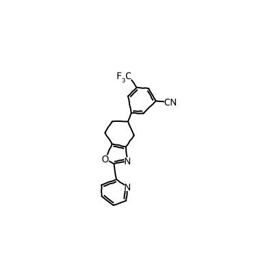 N#Cc1cc(C2CCc3oc(-c4ccccn4)nc3C2)cc(C(F)(F)F)c1